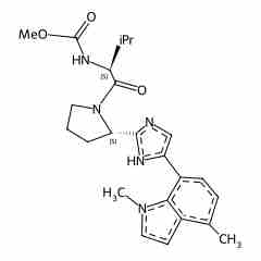 COC(=O)N[C@H](C(=O)N1CCC[C@H]1c1ncc(-c2ccc(C)c3ccn(C)c23)[nH]1)C(C)C